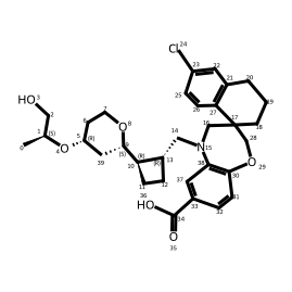 C[C@@H](CO)O[C@@H]1CCO[C@H]([C@@H]2CC[C@H]2CN2CC3(CCCc4cc(Cl)ccc43)COc3ccc(C(=O)O)cc32)C1